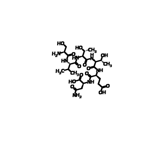 CC(C)[C@H](NC(=O)[C@@H](N)CO)C(=O)N[C@H](C(=O)N[C@H](C(=O)N[C@@H](CCC(=O)O)C(=O)N[C@@H](CC(N)=O)C(=O)O)[C@@H](C)O)[C@@H](C)O